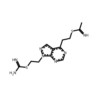 CC(=N)SCCc1ncnc2c1cnn2CCSC(=N)N